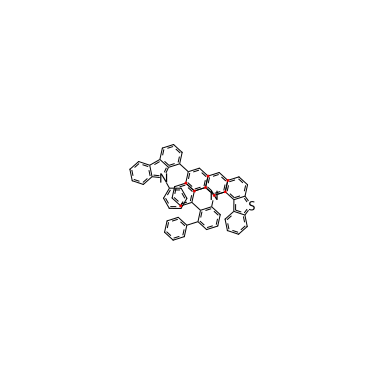 c1ccc(-c2ccccc2-c2c(-c3ccccc3)cccc2N(c2ccc(-c3cccc4c5ccccc5n(-c5ccccc5)c34)cc2)c2cccc3sc4ccccc4c23)cc1